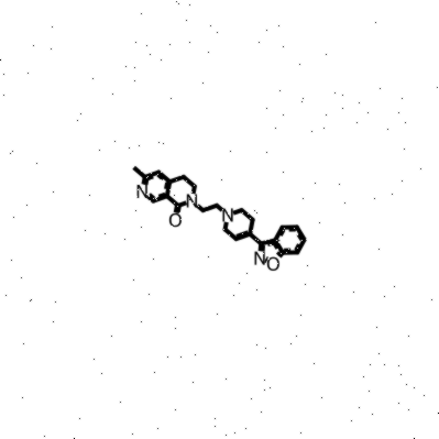 Cc1cc2c(cn1)C(=O)N(CCN1CC=C(c3noc4ccccc34)CC1)CC2